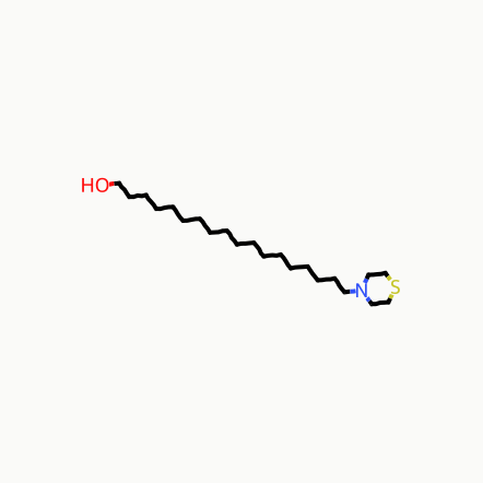 OCCCCCCCCCCCCCCCCCCN1CCSCC1